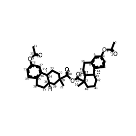 CC(=O)Oc1ccc2c(c1)CC[C@H]1C(C)(C(=O)OC(=O)C3(C)CC[C@]4(C)c5cc(OC(C)=O)ccc5CC[C@H]4C3)CCC[C@]21C